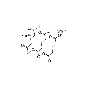 O=C([O-])CCCC(=O)[O-].O=C([O-])CCCC(=O)[O-].O=C([O-])CCCC(=O)[O-].[Sm+3].[Sm+3]